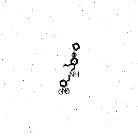 CCCc1cc(OCc2ccccc2)ccc1CCNCCc1cccc([N+](=O)[O-])c1